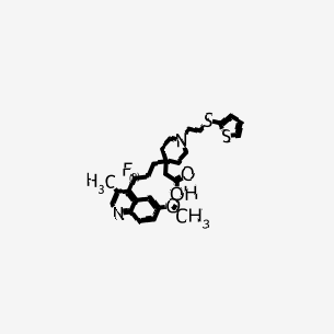 COc1ccc2ncc(C)c([C@H](F)CCC3(CC(=O)O)CCN(CCSc4cccs4)CC3)c2c1